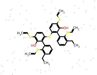 C=CSc1ccc(Sc2ccc(SC=C)c(O)c2-c2cccc(CC)c2SC=C)c(-c2cccc(CC)c2SC=C)c1O